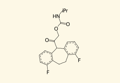 CC(C)NC(=O)OCC(=O)C1c2cccc(F)c2CCc2c(F)cccc21